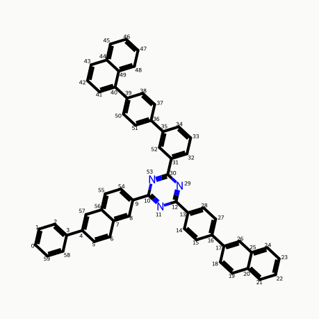 c1ccc(-c2ccc3cc(-c4nc(-c5ccc(-c6ccc7ccccc7c6)cc5)nc(-c5cccc(-c6ccc(-c7cccc8ccccc78)cc6)c5)n4)ccc3c2)cc1